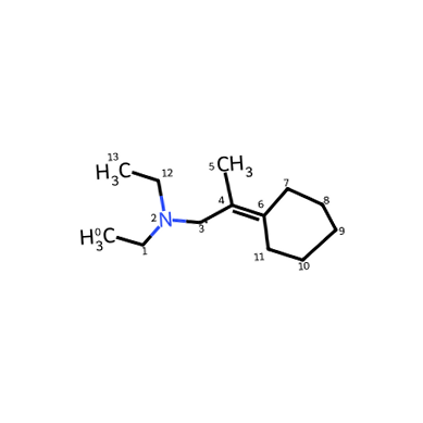 CCN([CH]C(C)=C1CCCCC1)CC